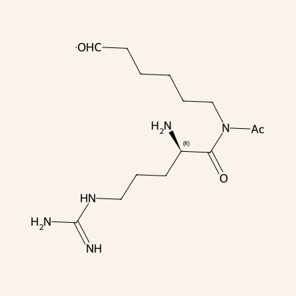 CC(=O)N(CCCCC[C]=O)C(=O)[C@H](N)CCCNC(=N)N